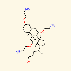 C[C@H](CCCO)[C@H]1CC[C@H]2C3[C@H](OCCN)CC4C[C@H](OCCN)CCC4(C)[C@H]3C[C@H](OCCN)C12C